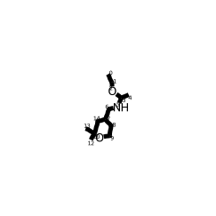 CCOC(C)NCC1CCOC(C)(C)C1